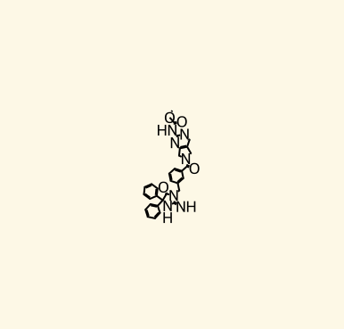 COC(=O)Nc1ncc2c(n1)CN(C(=O)c1cccc(CN3C(=N)NC(c4ccccc4)(c4ccccc4)C3=O)c1)C2